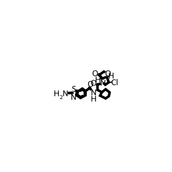 Nc1nc2ccc(C(=O)N[C@H](C(=O)N3C[C@H](Cl)[C@H]4OCC(=O)[C@H]43)C3CCCCC3)cc2s1